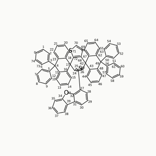 c1ccc(C2(c3ccccc3)c3ccccc3C3(c4ccccc42)c2cc(-c4cccc5c4oc4ccccc45)sc2C2(c4ccccc4C(c4ccccc4)(c4ccccc4)c4ccccc42)c2ccsc23)cc1